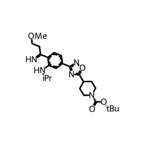 COCCC(=N)c1ccc(-c2noc(C3CCN(C(=O)OC(C)(C)C)CC3)n2)cc1NC(C)C